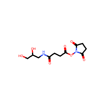 O=C(CCC(=O)ON1C(=O)CCC1=O)NCC(O)CO